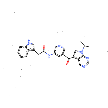 CC(C)n1cc(C(=O)c2cncc(NC(=O)Cc3c[nH]c4ccccc34)c2)c2cncnc21